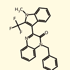 Cn1c(C(F)(F)F)c(-c2nc3ccccc3n(Cc3ccccc3)c2=O)c2ccccc21